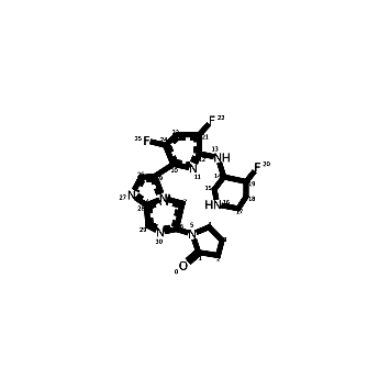 O=C1CCCN1c1cn2c(-c3nc(NC4CNCCC4F)c(F)cc3F)cnc2cn1